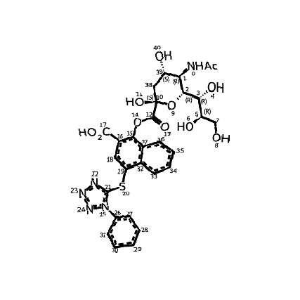 CC(=O)N[C@H]1[C@H]([C@H](O)[C@H](O)CO)O[C@](O)(C(=O)Oc2c(C(=O)O)cc(Sc3nnnn3-c3ccccc3)c3ccccc23)C[C@@H]1O